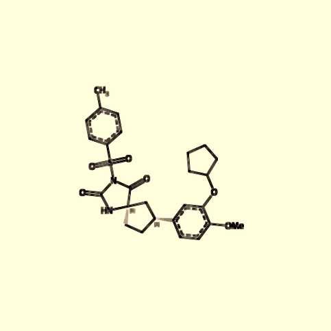 COc1ccc([C@@H]2CC[C@]3(C2)NC(=O)N(S(=O)(=O)c2ccc(C)cc2)C3=O)cc1OC1CCCC1